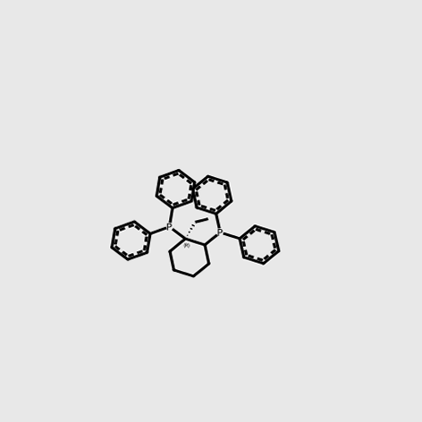 CC[C@@]1(P(c2ccccc2)c2ccccc2)CCCCC1P(c1ccccc1)c1ccccc1